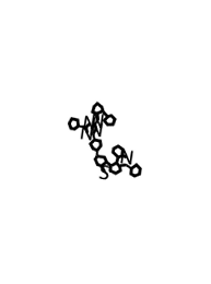 c1ccc(-c2nc(-c3ccc(-c4ccc5sc6ccc7c(-c8ccccc8)nc8ccccc8c7c6c5c4)cc3)nc(-n3c4ccccc4c4ccccc43)n2)cc1